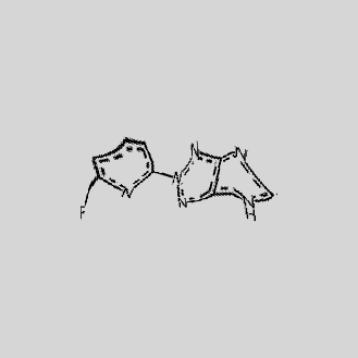 Fc1cccc(-n2nc3n[c][nH]c3n2)n1